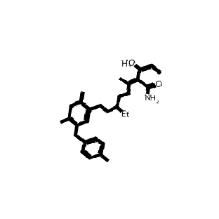 C/C=C(O)\C(C(N)=O)=C(/C)CCC(CC)CCC1=CC(Cc2ccc(C)cc2)=C(C)CC1C